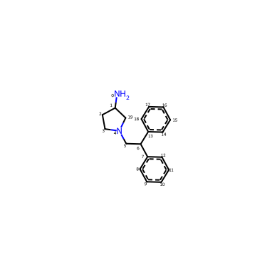 NC1CCN(CC(c2ccccc2)c2ccccc2)C1